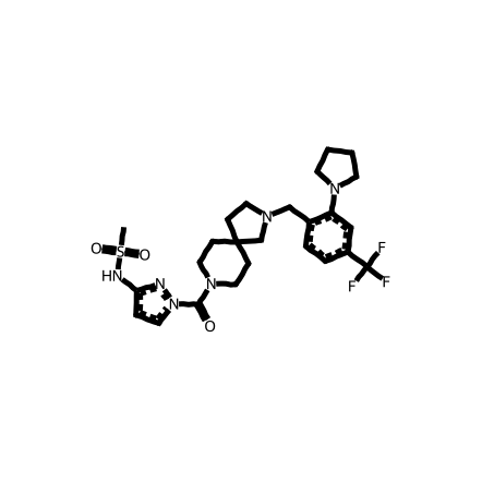 CS(=O)(=O)Nc1ccn(C(=O)N2CCC3(CCN(Cc4ccc(C(F)(F)F)cc4N4CCCC4)C3)CC2)n1